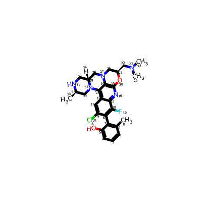 Cc1cccc(O)c1-c1c(Cl)cc2c3c4c(nc2c1F)O[C@H](CN(C)C)CN4C[C@H]1CN[C@H](C)CN31